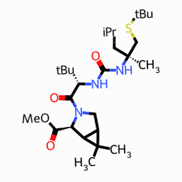 COC(=O)[C@@H]1C2C(CN1C(=O)[C@@H](NC(=O)N[C@](C)(CSC(C)(C)C)CC(C)C)C(C)(C)C)C2(C)C